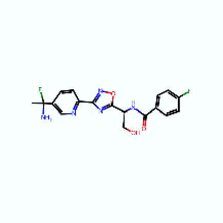 CC(N)(F)c1ccc(-c2noc([C@H](CO)NC(=O)c3ccc(F)cc3)n2)nc1